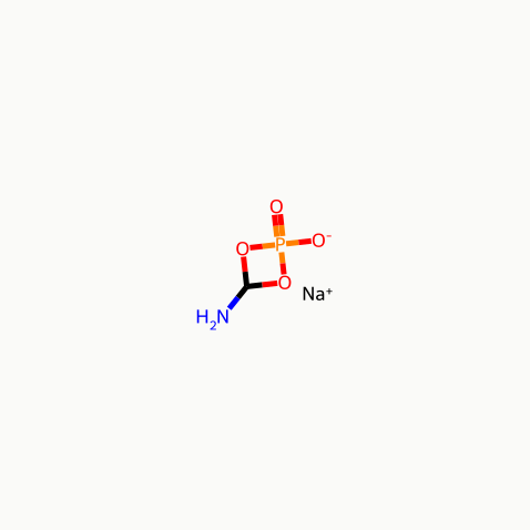 NC1OP(=O)([O-])O1.[Na+]